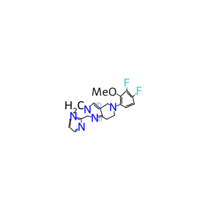 C=N/C=C1/CN(c2ccc(F)c(F)c2OC)CC/C1=N/Cc1ncccn1